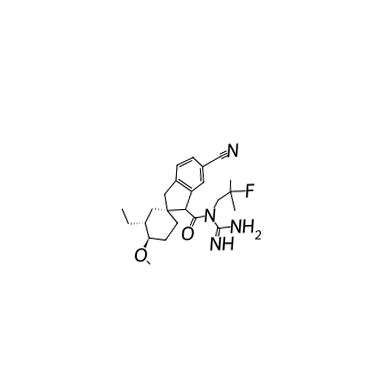 CC[C@@H]1C[C@]2(CC[C@H]1OC)Cc1ccc(C#N)cc1C2C(=O)N(CC(C)(C)F)C(=N)N